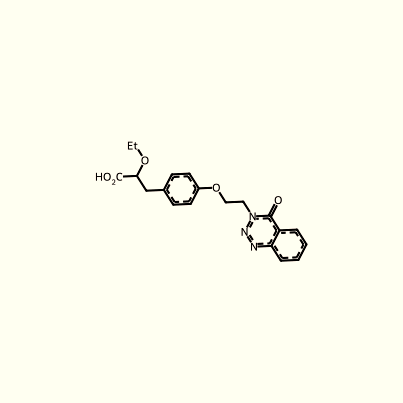 CCOC(Cc1ccc(OCCn2nnc3ccccc3c2=O)cc1)C(=O)O